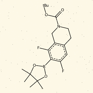 CC(C)(C)OC(=O)N1CCc2cc(F)c(B3OC(C)(C)C(C)(C)O3)c(F)c2C1